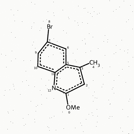 COc1cc(C)c2cc(Br)ccc2n1